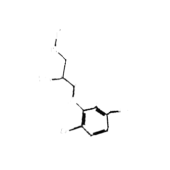 OC(CNI)COc1cc(F)ccc1Br